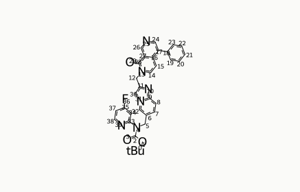 CC(C)(C)OC(=O)N(Cc1ccc2nc(Cn3ccc4c(-c5ccccc5)cncc4c3=O)cn2c1)c1cc(F)ccn1